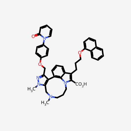 CN1CCCn2c(C(=O)O)c(CCCOc3cccc4ccccc34)c3cccc(c32)-c2c(COc3ccc(-n4ccccc4=O)cc3)nn(C)c2C1